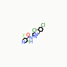 O=C(Nc1ccn(Cc2ccc(Cl)cc2Cl)n1)c1c(F)cncc1F